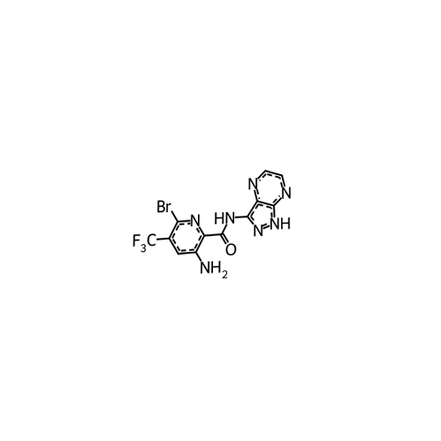 Nc1cc(C(F)(F)F)c(Br)nc1C(=O)Nc1n[nH]c2nccnc12